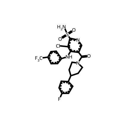 NS(=O)(=O)c1ncc(C(=O)N2CCC(c3ccc(F)cc3)CC2)c(Nc2ccc(C(F)(F)F)cc2)c1Cl